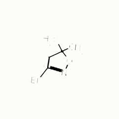 [CH2]C1([CH2])CC(CC)=NO1